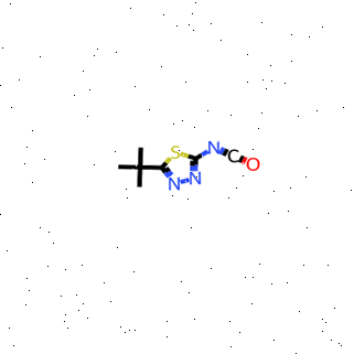 CC(C)(C)c1nnc(N=C=O)s1